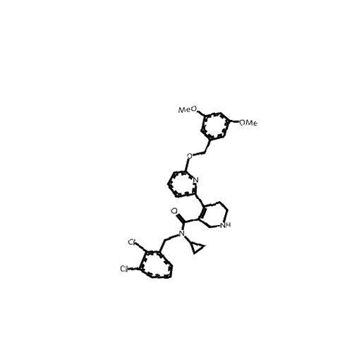 COc1cc(COc2cccc(C3=C(C(=O)N(Cc4cccc(Cl)c4Cl)C4CC4)CNCC3)n2)cc(OC)c1